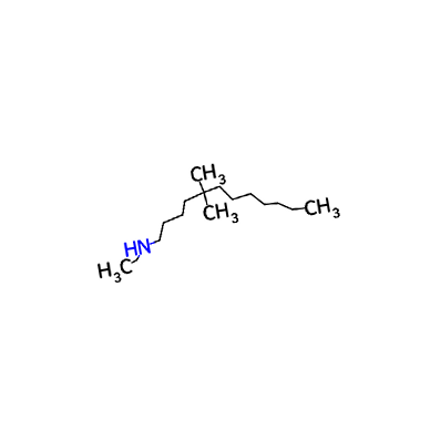 CCCCCCCC(C)(C)CCCCNCC